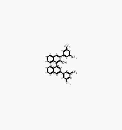 Oc1c(-c2cc(C(F)(F)F)cc(C(F)(F)F)c2)cc2ccccc2c1-c1cc(-c2cc(C(F)(F)F)cc(C(F)(F)F)c2)cc2ccccc12